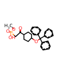 COP(=O)(O)CC(=O)C1CCC(OC(c2ccccc2)(c2ccccc2)c2ccccc2)CC1